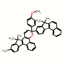 COc1ccc(C2(c3ccc4c(c3)C(C)(C)c3ccc5ccccc5c3-4)C=Cc3c4c(c5ccccc5c3O2)-c2ccc(C)cc2C4(C)C)cc1